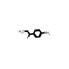 CCC(F)c1ccc(N)cc1